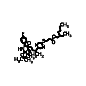 C=C(CCC1(CCC)Oc2cc(F)ccc2[C@H]1NC(=O)OC(C)(C)C)c1cnc(SCCC(=O)OCC(CC)CCCC)cn1